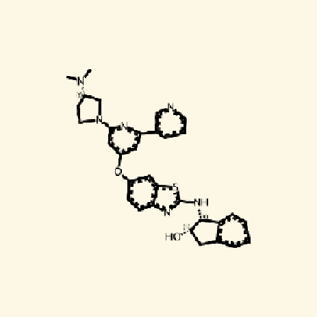 CN(C)[C@H]1CCN(c2cc(Oc3ccc4nc(N[C@@H]5c6ccccc6C[C@@H]5O)sc4c3)cc(-c3cccnc3)n2)C1